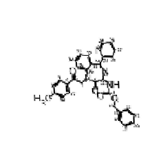 Cc1ccc(C(=O)CN2C(=O)C(NC(=O)OCc3ccccc3)N=C(c3ccccn3)c3ccccc32)cc1